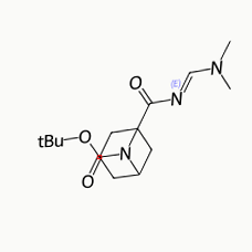 CN(C)/C=N/C(=O)C12CCCC(C1)N2C(=O)OC(C)(C)C